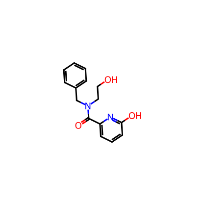 O=C(c1cccc(O)n1)N(CCO)Cc1ccccc1